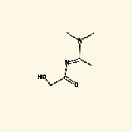 C/C(=N\C(=O)C(C)O)N(C)C